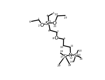 CCO[Si](CC)(CCOCCCN([Si](C)(C)C)[Si](C)(C)C)OCC